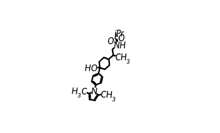 Cc1ccc(C)n1-c1ccc(C2(O)CCC(C(C)CNS(=O)(=O)C(C)C)CC2)cc1